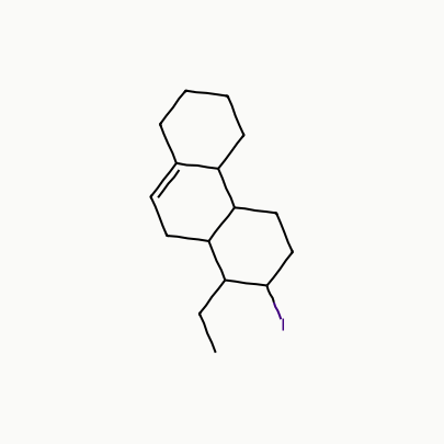 CCC1C(I)CCC2C3CCCCC3=CCC12